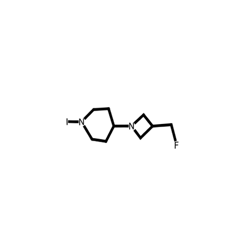 FCC1CN(C2CCN(I)CC2)C1